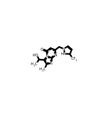 Cc1sc2nc(CN3C=CC(C(F)(F)F)N3)cc(=O)n2c1C(C)O